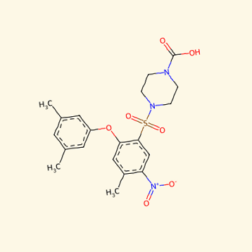 Cc1cc(C)cc(Oc2cc(C)c([N+](=O)[O-])cc2S(=O)(=O)N2CCN(C(=O)O)CC2)c1